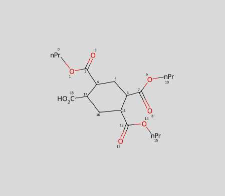 CCCOC(=O)C1CC(C(=O)OCCC)C(C(=O)OCCC)CC1C(=O)O